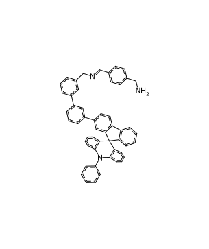 NCc1ccc(/C=N/Cc2cccc(-c3cccc(-c4ccc5c(c4)C4(c6ccccc6-5)c5ccccc5N(c5ccccc5)c5ccccc54)c3)c2)cc1